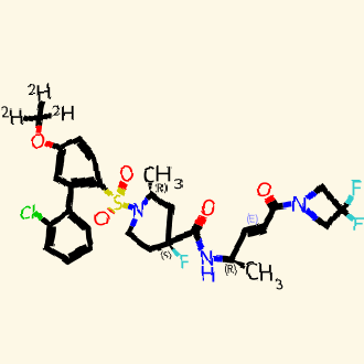 [2H]C([2H])([2H])Oc1ccc(S(=O)(=O)N2CC[C@@](F)(C(=O)N[C@H](C)/C=C/C(=O)N3CC(F)(F)C3)C[C@H]2C)c(-c2ccccc2Cl)c1